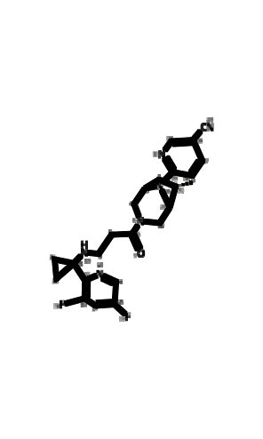 C[C@H]1CC2CN(C(=O)CCNC3(c4ncc(F)cc4F)CC3)CC1N2c1ccc(C#N)cn1